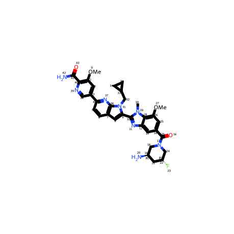 COc1cc(-c2ccc3cc(-c4nc5cc(C(=O)N6C[C@H](N)C[C@@H](F)C6)cc(OC)c5n4C)n(CC4CC4)c3n2)cnc1C(N)=O